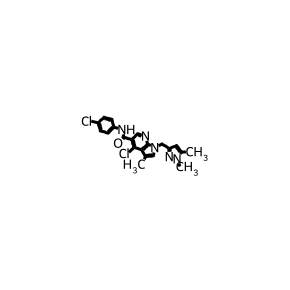 Cc1cn(Cc2cc(C)n(C)n2)c2ncc(C(=O)Nc3ccc(Cl)cc3)c(Cl)c12